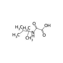 CC(C)C(C)(C)NC(=O)C(=O)O